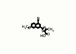 COc1ccc2c(C#N)cc(-c3nc(C)c(C(=O)O)s3)cc2c1